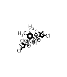 Cc1cc(NS(=O)(=O)c2cc(Cl)sc2Cl)c(NS(=O)(=O)c2cc(Cl)sc2Cl)cc1C